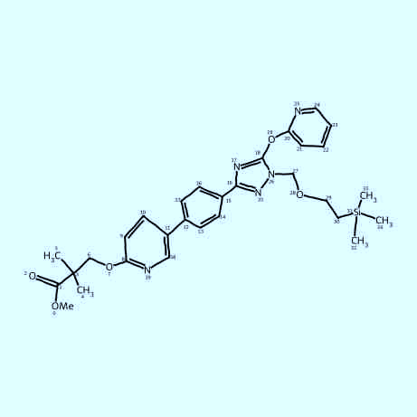 COC(=O)C(C)(C)COc1ccc(-c2ccc(-c3nc(Oc4ccccn4)n(COCC[Si](C)(C)C)n3)cc2)cn1